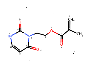 C=C(C)C(=O)OCCn1c(=O)cc[nH]c1=O